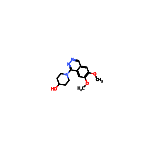 COc1cc2cnnc(N3CCC(O)CC3)c2cc1OC